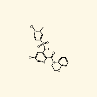 Cc1cc(S(=O)(=O)Nc2cc(Cl)cnc2C(=O)N2CCOc3ccccc32)ccc1Cl